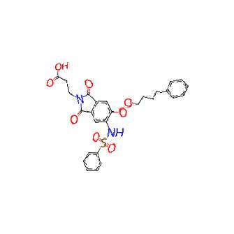 O=C(O)CCN1C(=O)c2cc(NS(=O)(=O)c3ccccc3)c(OOCCCCc3ccccc3)cc2C1=O